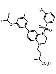 CC(CCN1CCN(S(=O)(=O)c2cccc(C(F)(F)F)c2)c2cc(-c3cc(F)cc(OC(F)F)c3)ccc21)C(=O)O